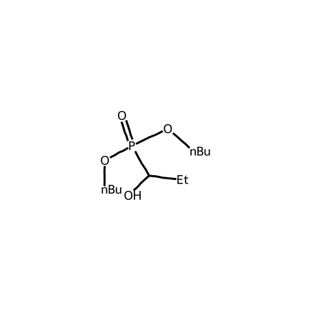 CCCCOP(=O)(OCCCC)C(O)CC